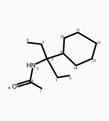 CCC(CC)(NC(C)=O)C1CCCCC1